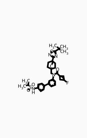 CC(C)S(=O)(=O)Nc1ccc(-c2cccc(N(CC34CCC(c5noc(C(C)(C)C)n5)(CC3)CC4)C(=O)C34CC(F)(C3)C4)c2)cc1